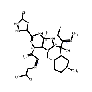 C=C(/C=N\CC(C)Cl)[C@H]1N=C(C2NNC(O)O2)N[C@H]2N[C@@H](C(C)(F)/C(CF)=N/C)N(C[C@H]3CC[C@H](C)CC3)C21